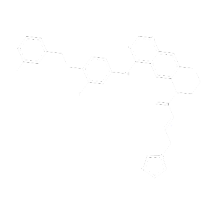 O=C(/C=C/Cn1ccnc1)N1CCOc2cc3ncnc(Nc4ccc(OCc5cccc(F)c5)c(Cl)c4)c3cc21